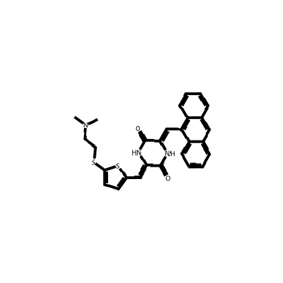 CN(C)CCSc1ccc(/C=c2\[nH]c(=O)/c(=C/c3c4ccccc4cc4ccccc34)[nH]c2=O)s1